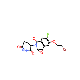 O=C1CCC(N2C(=O)c3cc(F)c(OCCBr)cc3C3OC32)C(=O)N1